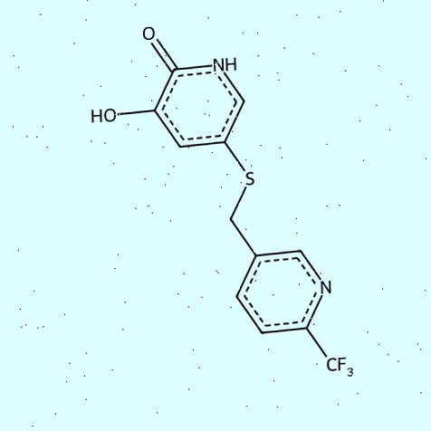 O=c1[nH]cc(SCc2ccc(C(F)(F)F)nc2)cc1O